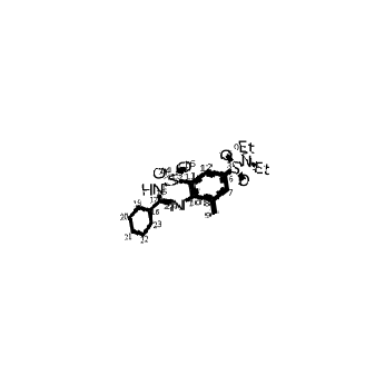 CCN(CC)S(=O)(=O)c1cc(C)c2c(c1)S(=O)(=O)NC(C1CCCCC1)=N2